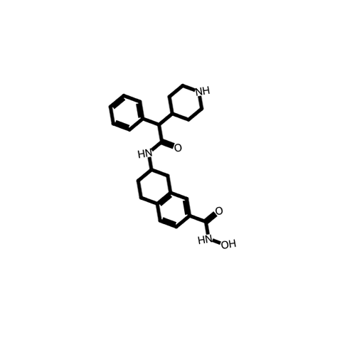 O=C(NO)c1ccc2c(c1)CC(NC(=O)C(c1ccccc1)C1CCNCC1)CC2